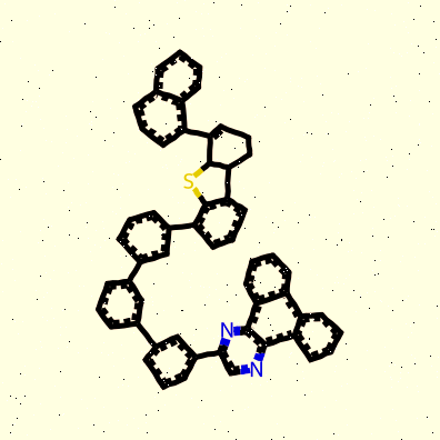 C1=C(c2cccc3ccccc23)C2Sc3c(-c4cccc(-c5cccc(-c6cccc(-c7cnc8c9ccccc9c9ccccc9c8n7)c6)c5)c4)cccc3C2CC1